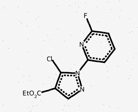 CCOC(=O)c1cnn(-c2cccc(F)n2)c1Cl